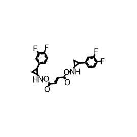 O=C(/C=C/C(=O)ONC1CC1c1ccc(F)c(F)c1)ONC1CC1c1ccc(F)c(F)c1